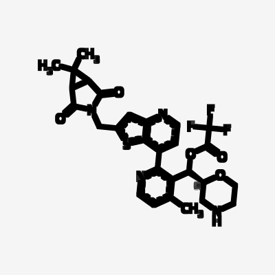 Cc1ccnc(-c2ccnc3cc(CN4C(=O)C5C(C4=O)C5(C)C)sc23)c1C(OC(=O)C(F)(F)F)[C@@H]1CNCCO1